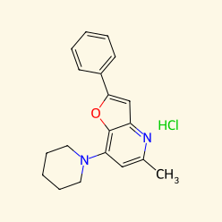 Cc1cc(N2CCCCC2)c2oc(-c3ccccc3)cc2n1.Cl